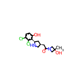 CC1(O)CN(C(=O)C[C@H]2CN[C@@H](c3c(O)ccc(Cl)c3Cl)C2)C1